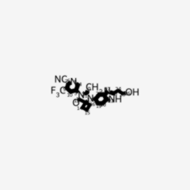 C=C1N(c2cnc(C#N)c(C(F)(F)F)c2)C(=O)C2(CCC2)N1c1ccc2[nH]c(CCO)nc2c1